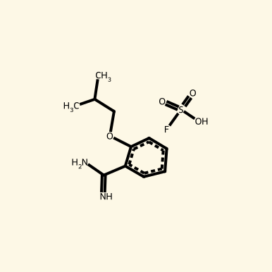 CC(C)COc1ccccc1C(=N)N.O=S(=O)(O)F